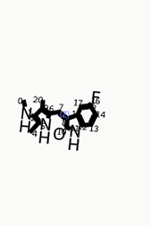 CNc1c(C)[nH]c(/C=C2\C(=O)Nc3ccc(F)cc32)c1C